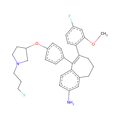 COc1cc(F)ccc1C1=C(c2ccc(OC3CCN(CCCF)C3)cc2)c2ccc(N)cc2CCC1